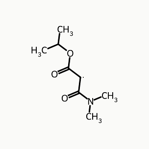 CC(C)OC(=O)[CH]C(=O)N(C)C